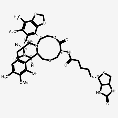 COc1c(C)cc2c(c1O)[C@@H]1C3CSC[C@H](NC(=O)CCCC[C@@H]4SCC5NC(=O)NC54)C(=O)OC[C@@H](c4c(C)c(OC(C)=O)c(C)c5c4OCO5)N3[C@@H](O)[C@H](C2)N1C